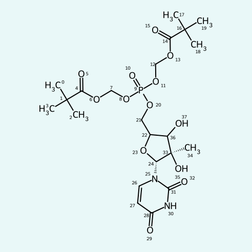 CC(C)(C)C(=O)OCOP(=O)(OCOC(=O)C(C)(C)C)OCC1O[C@@H](n2ccc(=O)[nH]c2=O)[C@](C)(O)C1O